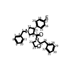 O=C([C@H]1CN(Cc2ccccc2)C[C@@H]1c1ccc(F)cc1)N1CCOC1Cc1ccccc1